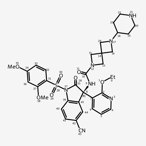 CCOc1ncccc1[C@@]1(NC(=O)N2CC3(C2)CN(C2CCNCC2)C3)C(=O)N(S(=O)(=O)c2ccc(OC)cc2OC)c2ccc(C#N)cc21